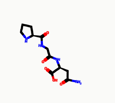 NC(=O)C[C@H](NC(=O)CNC(=O)[C@@H]1CCCN1)C(=O)O